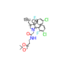 CC(C)(C)C[C@@H]1CN(CC(=O)NCC[C@H]2COC(C)(C)O2)[C@H](c2cccc(Cl)c2F)[C@@]1(C#N)c1ccc(Cl)cc1F